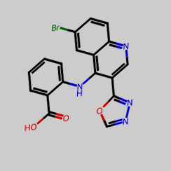 O=C(O)c1ccccc1Nc1c(-c2nnco2)cnc2ccc(Br)cc12